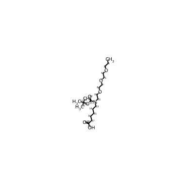 CCCOCCOCCOCCN(CCCCCC(=O)O)C(=O)OC(C)(C)C